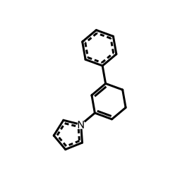 C1=C(c2ccccc2)CCC=C1n1cccc1